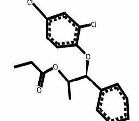 CCC(=O)OC(C)[C@@H](Oc1ccc(Cl)cc1Cl)c1ccccc1